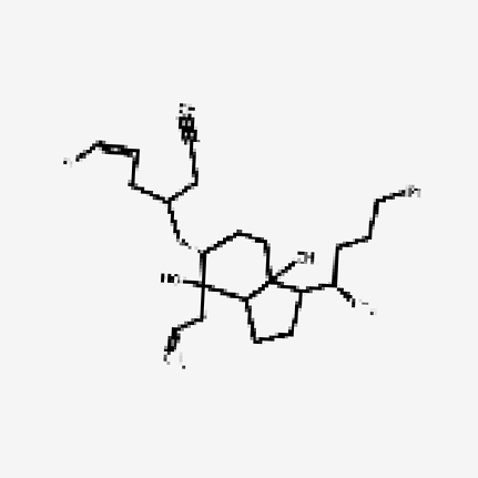 C#CCC(C/C=C\CC)C[C@@H]1CCC2(C)C([C@H](C)CCCC(C)C)CCC2C1(O)CC=C